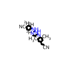 [2H]c1cc(C#N)c([2H])c([2H])c1Nc1nccc(Nc2c(C)cc(/C=C/C#N)cc2C)n1